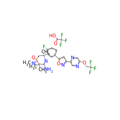 CN=[S@@]1(=O)C[C@@](C)(c2cc(-c3cc(-c4cnc(OCC(F)(F)F)cn4)no3)ccc2F)N=C(N)C1(C)C.O=C(O)C(F)(F)F